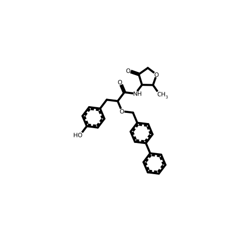 CC1OCC(=O)C1NC(=O)C(Cc1ccc(O)cc1)OCc1ccc(-c2ccccc2)cc1